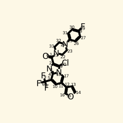 O=C(c1nc2c(C(F)(F)F)cc(-c3ccoc3)cn2c1Cl)N1CCN(c2ccc(F)cc2)CC1